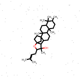 CC(C)=CCC1OC23CCC4(C2)C(CCC2C5(C)CCC(C)C(C)(C)C5CCC24C)C3C1(C)O